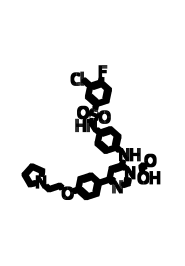 O=CO.O=S(=O)(Nc1ccc(Nc2cc(-c3ccc(OCCN4CCCC4)cc3)ncn2)cc1)c1ccc(F)c(Cl)c1